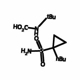 CC(C)(C)NC(=O)O.CCCCC1(S(N)(=O)=O)CC1